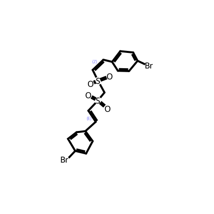 O=S(=O)(/C=C\c1ccc(Br)cc1)CS(=O)(=O)/C=C/c1ccc(Br)cc1